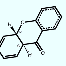 O=C1c2ccccc2O[C@H]2C=CC=C[C@H]12